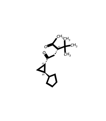 CC(=O)[C@@H](CC(=O)[C@H]1C[C@@H]1C1CCCC1)C(C)(C)C